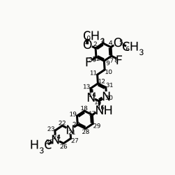 COc1cc(OC)c(F)c(CCc2cnc(Nc3ccc(N4CCN(C)CC4)cc3)nc2)c1F